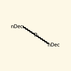 CCCCCCCCCCCCCCCCCCCCCC[P]CCCCCCCCCCCCCCCCCCCCCC